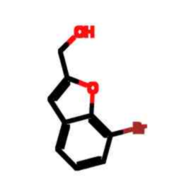 OCc1cc2cccc(Br)c2o1